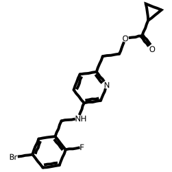 O=C(OCCc1ccc(NCc2cc(Br)ccc2F)cn1)C1CC1